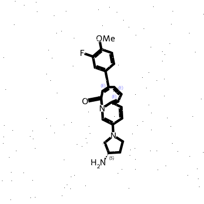 COc1ccc(C2=C\C(=O)N3C=C(N4CC[C@H](N)C4)C=C\C3=C/C=C/2)cc1F